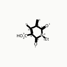 C=C1C(=O)N(CC)C(=O)C(C(=O)O)=C1C